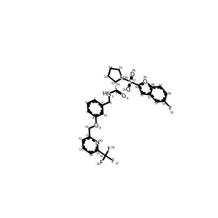 O=C(NCc1cccc(OCc2cccc(C(F)(F)F)n2)c1)[C@@H]1CCCN1S(=O)(=O)c1cc2cc(F)ccc2o1